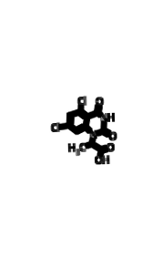 CC(C(=O)O)n1c(=O)[nH]c(=O)c2c(Cl)cc(Cl)cc21